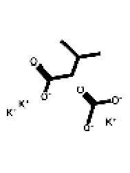 CC(C)CC(=O)[O-].O=C([O-])[O-].[K+].[K+].[K+]